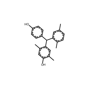 Cc1ccc(C)c(C(c2ccc(O)cc2)c2cc(C)c(O)cc2C)c1